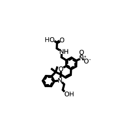 CC1(C)c2ccccc2N(CCO)C12C=Cc1cc([N+](=O)[O-])cc(CNCC(=O)O)c1O2